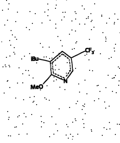 CCC(C)c1cc(C(F)(F)F)cnc1OC